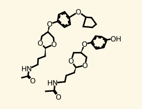 CC(=O)NCCC[C@H]1OC[C@@H](Oc2ccc(O)cc2)CO1.CC(=O)NCCC[C@H]1OC[C@@H](Oc2ccc(OC3CCCC3)cc2)CO1